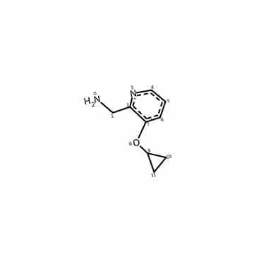 NCc1ncccc1OC1CC1